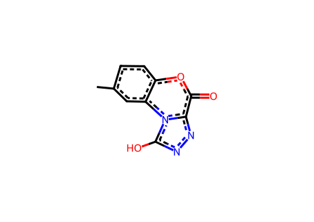 Cc1ccc2oc(=O)c3nnc(O)n3c2c1